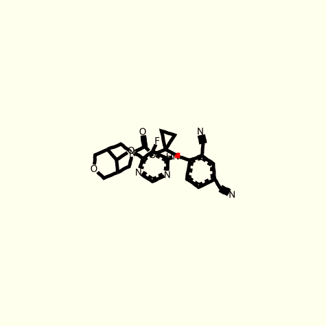 CC1(OC(=O)N2CC3COCC(C2)C3Oc2ncnc(Nc3ccc(C#N)cc3C#N)c2F)CC1